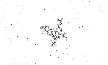 CCOC(=O)[C@H]1[C@@H]2[C@H](NC(=O)COC(C)=O)[C@@H](OCc3ccc(Cl)c(Cl)c3)[C@@](NC(=O)OC(C)(C)C)(C(=O)OCC)[C@H]12